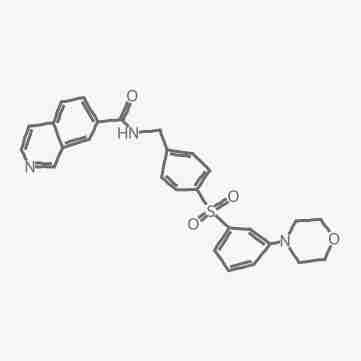 O=C(NCc1ccc(S(=O)(=O)c2cccc(N3CCOCC3)c2)cc1)c1ccc2ccncc2c1